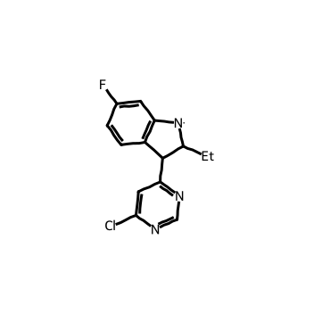 CCC1[N]c2cc(F)ccc2C1c1cc(Cl)ncn1